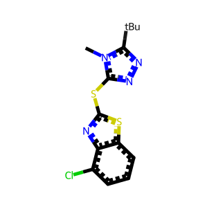 Cn1c(Sc2nc3c(Cl)cccc3s2)nnc1C(C)(C)C